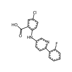 O=C(O)c1cc(Cl)ccc1Nc1ccc(-c2ccccc2F)nc1